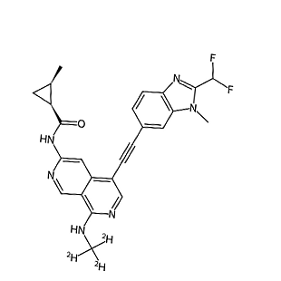 [2H]C([2H])([2H])Nc1ncc(C#Cc2ccc3nc(C(F)F)n(C)c3c2)c2cc(NC(=O)[C@H]3C[C@H]3C)ncc12